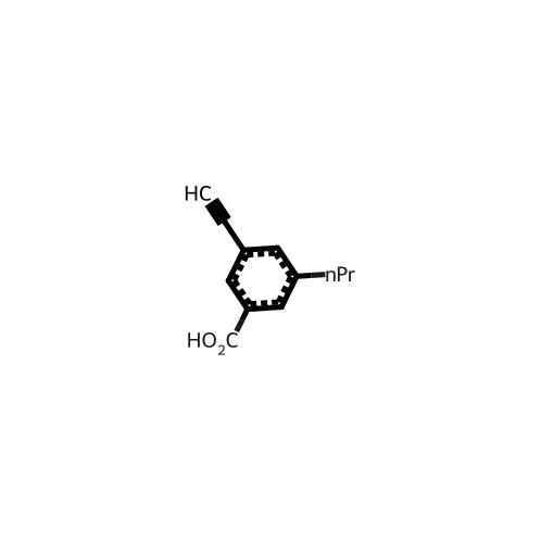 C#Cc1cc(CCC)cc(C(=O)O)c1